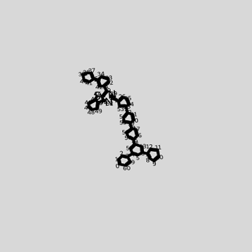 c1ccc(-c2cc(-c3ccccc3)cc(-c3ccc(-c4ccc(-c5cccc(-c6nc(-c7cccc(-c8ccccc8)c7)c7sc8ccccc8c7n6)c5)cc4)cc3)c2)cc1